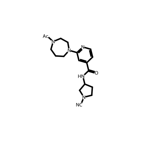 CC(=O)N1CCCN(c2cc(C(=O)NC3CCN(C#N)C3)ccn2)CC1